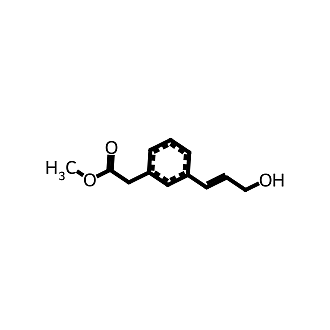 COC(=O)Cc1cccc(/C=C/CO)c1